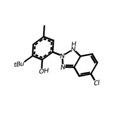 Cc1cc(N2N=C3C=C(Cl)C=CC3N2)c(O)c(C(C)(C)C)c1